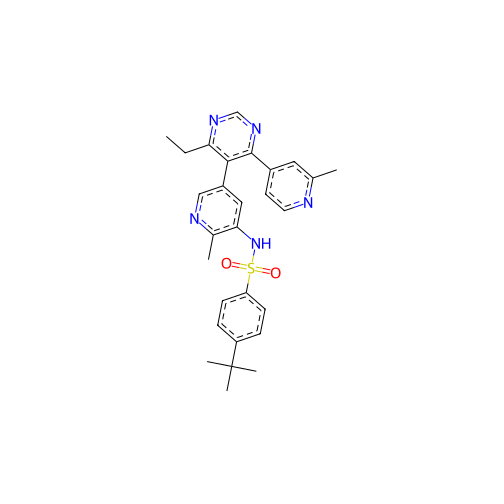 CCc1ncnc(-c2ccnc(C)c2)c1-c1cnc(C)c(NS(=O)(=O)c2ccc(C(C)(C)C)cc2)c1